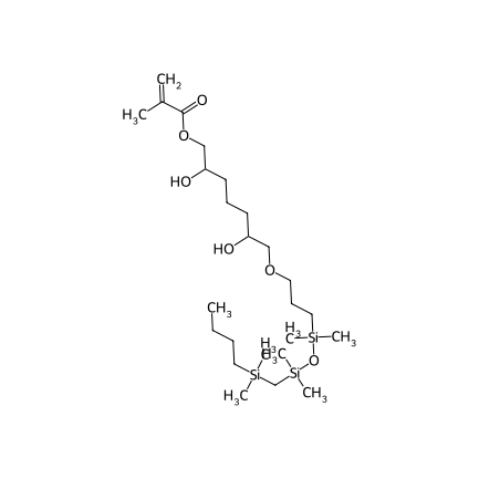 C=C(C)C(=O)OCC(O)CCCC(O)COCCC[Si](C)(C)O[Si](C)(C)C[Si](C)(C)CCCC